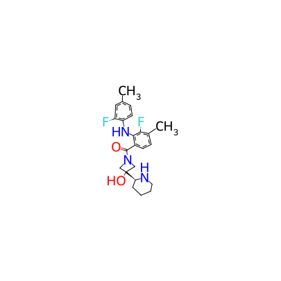 Cc1ccc(Nc2c(C(=O)N3CC(O)([C@@H]4CCCCN4)C3)ccc(C)c2F)c(F)c1